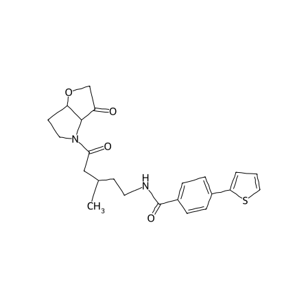 CC(CCNC(=O)c1ccc(-c2cccs2)cc1)CC(=O)N1CCC2OCC(=O)C21